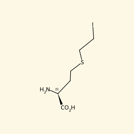 N[C@@H](CCSCCI)C(=O)O